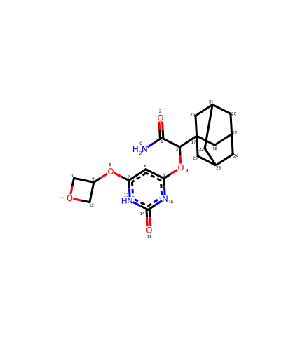 NC(=O)C(Oc1cc(OC2COC2)[nH]c(=O)n1)C12CC3CC(CC(C3)C1)C2